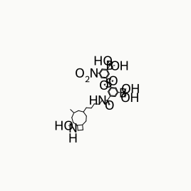 CC1CCC2(NO)CCC2CCC(CCCCNC(=O)c2cc(B(O)O)cc(S(=O)(=O)c3cc(B(O)O)cc([N+](=O)[O-])c3)c2)C1